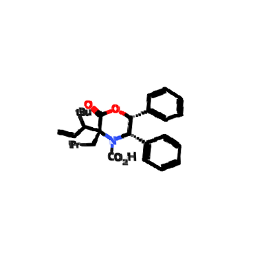 C=CC(C(C)(C)C)[C@]1(CC(C)C)C(=O)O[C@H](c2ccccc2)[C@H](c2ccccc2)N1C(=O)O